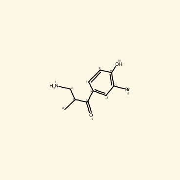 CC(CN)C(=O)c1ccc(O)c(Br)c1